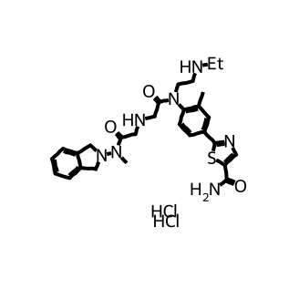 CCNCCN(C(=O)CNCC(=O)N(C)N1Cc2ccccc2C1)c1ccc(-c2ncc(C(N)=O)s2)cc1C.Cl.Cl